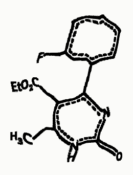 CCOC(=O)c1c(-c2ccccc2F)nc(=O)[nH]c1C